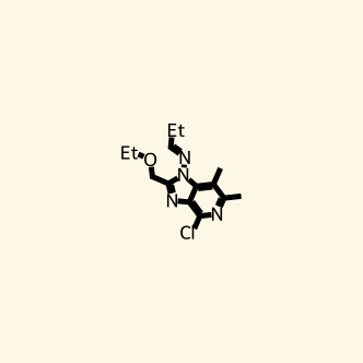 [CH2]CC=Nn1c(COCC)nc2c(Cl)nc(C)c(C)c21